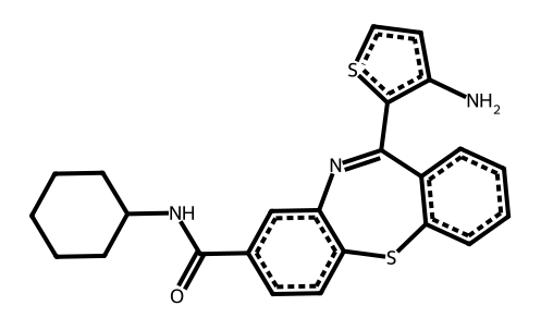 Nc1ccsc1C1=Nc2cc(C(=O)NC3CCCCC3)ccc2Sc2ccccc21